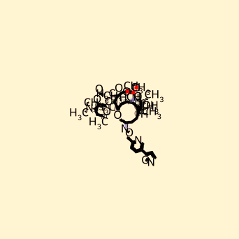 CC[C@H]1OC(=O)[C@H](C)C(=O)[C@H](C)[C@@H](O[C@@H]2O[C@H](C)C[C@H](N(C)C)[C@H]2OC(C)=O)[C@@]2(C)C[C@@H](C)/C(=N\C(C)=O)[C@H](C)[C@@H](CC/C(=N\OCc3ccc(-c4ccno4)cn3)CO2)[C@]1(C)O